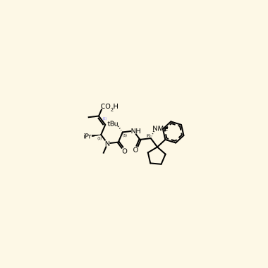 CN[C@@H](C(=O)N[C@H](C(=O)N(C)[C@H](/C=C(\C)C(=O)O)C(C)C)C(C)(C)C)C1(c2ccccc2)CCCC1